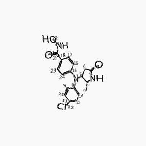 CC1NC(=O)CC1N(c1ccc(Cl)cc1)c1ccc(C(=O)NO)cc1